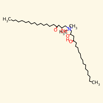 CCCCCCCCCCCCCCCC(=O)CC(O)C[N+](C)(C)CC(O)CC(=O)CCCCCCCCCCCCCCC